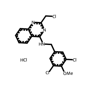 COc1c(Cl)cc(CNc2nc(CCl)nc3ccccc23)cc1Cl.Cl